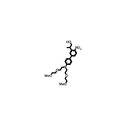 COCCOCCN(CCOCCOC)c1ccc(-c2ccc([N+](=O)[O-])c(C(C)CO)c2)cc1